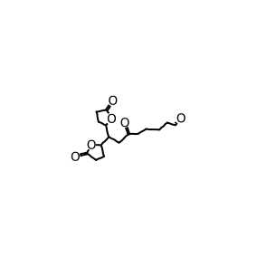 O=CCCCCC(=O)CC(C1CCC(=O)O1)C1CCC(=O)O1